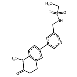 CCS(=O)(=O)NCc1cncc(-c2ccc3c(c2)CCC(=O)N3C)c1